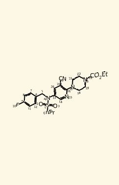 CCCS(=O)(=O)N(Cc1ccc(F)cc1)c1cnc(N2CCN(C(=O)OCC)CC2)c(C#N)c1